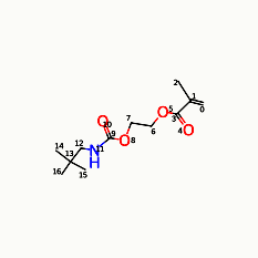 C=C(C)C(=O)OCCOC(=O)NCC(C)(C)C